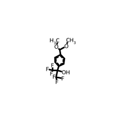 COC(OC)c1ccc(C(O)(C(F)(F)F)C(F)(F)F)cc1